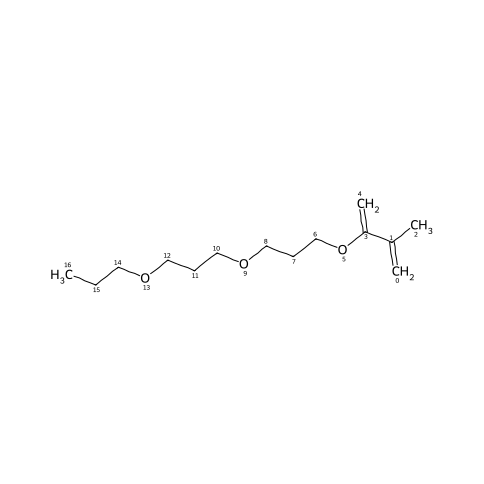 C=C(C)C(=C)OCCCOCCCOCCC